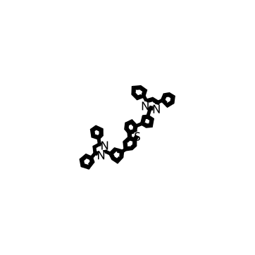 c1ccc(C2=NC(c3cccc(-c4ccc5sc6c(-c7cccc(-c8nc(-c9ccccc9)cc(-c9ccccc9)n8)c7)cccc6c5c4)c3)=NC(c3ccccc3)C2)cc1